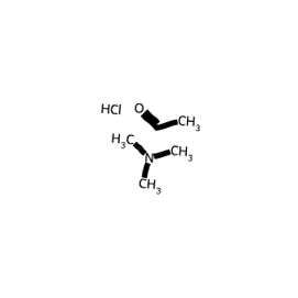 CC=O.CN(C)C.Cl